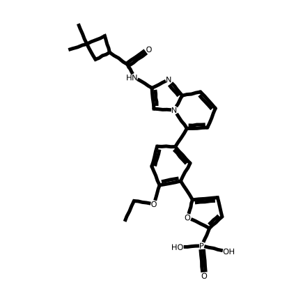 CCOc1ccc(-c2cccc3nc(NC(=O)C4CC(C)(C)C4)cn23)cc1-c1ccc(P(=O)(O)O)o1